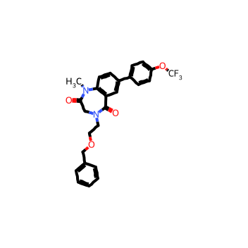 CN1C(=O)CN(CCOCc2ccccc2)C(=O)c2cc(-c3ccc(OC(F)(F)F)cc3)ccc21